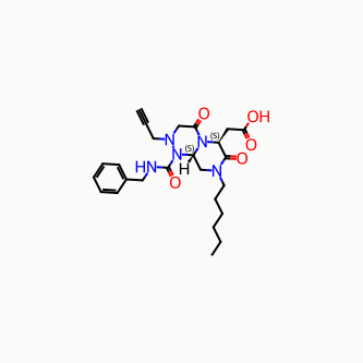 C#CCN1CC(=O)N2[C@@H](CC(=O)O)C(=O)N(CCCCCC)C[C@@H]2N1C(=O)NCc1ccccc1